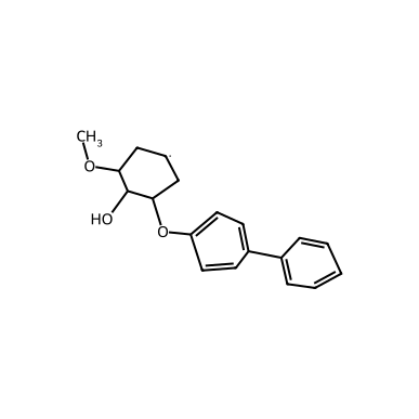 COC1C[CH]CC(Oc2ccc(-c3ccccc3)cc2)C1O